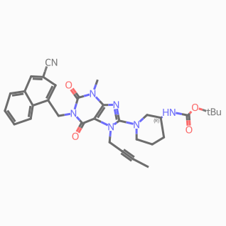 CC#CCn1c(N2CCC[C@@H](NC(=O)OC(C)(C)C)C2)nc2c1c(=O)n(Cc1cc(C#N)cc3ccccc13)c(=O)n2C